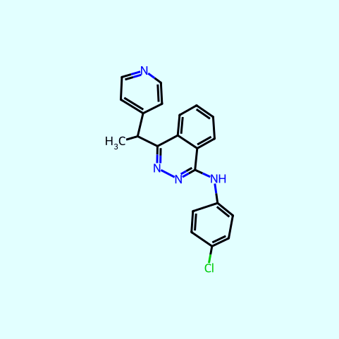 CC(c1ccncc1)c1nnc(Nc2ccc(Cl)cc2)c2ccccc12